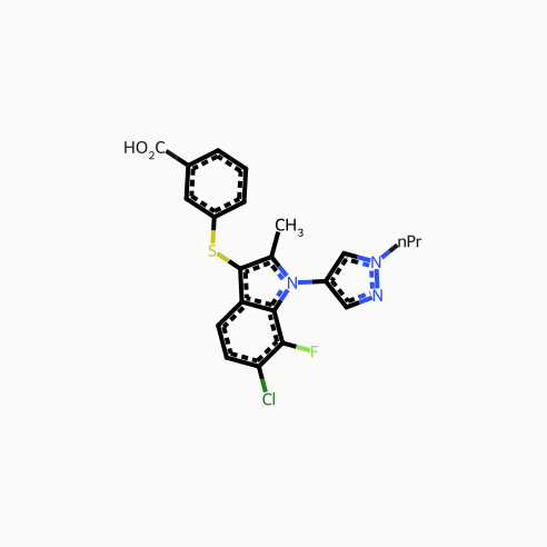 CCCn1cc(-n2c(C)c(Sc3cccc(C(=O)O)c3)c3ccc(Cl)c(F)c32)cn1